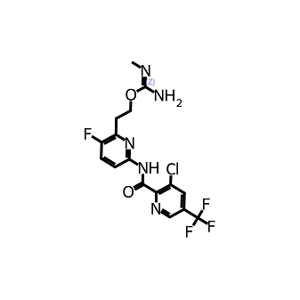 C/N=C(/N)OCCc1nc(NC(=O)c2ncc(C(F)(F)F)cc2Cl)ccc1F